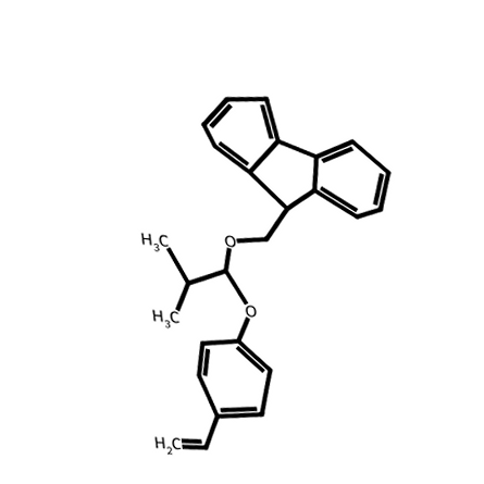 C=Cc1ccc(OC(OCC2c3ccccc3-c3ccccc32)C(C)C)cc1